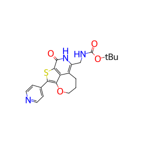 CC(C)(C)OC(=O)NCc1[nH]c(=O)c2sc(-c3ccncc3)c3c2c1CCCO3